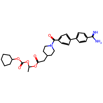 CC(OC(=O)CC1CCN(C(=O)c2ccc(-c3ccc(C(=N)N)cc3)cc2)CC1)OC(=O)OC1CCCCC1